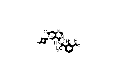 CC(C)(Nc1ncnc2c1=C[N+](=C1CC(F)C1)C(=O)C=2)c1cccc(C(F)F)c1F